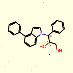 OC[C@@H](O)[C@H](c1ccccc1)n1ccc2c(-c3ccccc3)cccc21